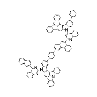 c1ccc(-c2ccc3c(c2)c2c4c5ccccc5n5c6ccccc6c(cc2n3-c2nc(-c3cc6ccc(-c7ccc(-c8ccc9c(c8)c8c%10c%11ccccc%11n%11c%12ccccc%12c(cc8n9-c8nc(-c9ccc%12ccccc%12c9)c9ccccc9n8)c%10%11)cc7)cc6c6ccccc36)nc3ccccc23)c45)cc1